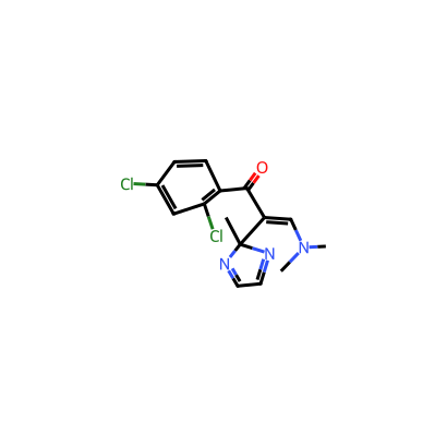 CN(C)C=C(C(=O)c1ccc(Cl)cc1Cl)C1(C)N=CC=N1